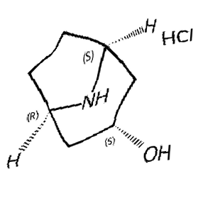 Cl.O[C@@H]1C[C@H]2CC[C@@H](C1)N2